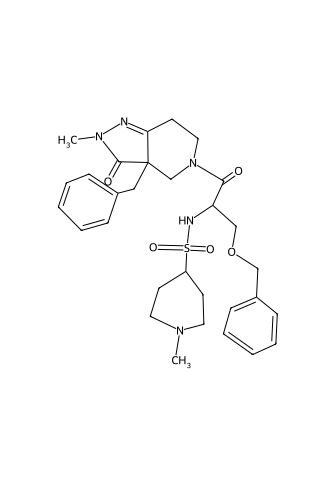 CN1CCC(S(=O)(=O)NC(COCc2ccccc2)C(=O)N2CCC3=NN(C)C(=O)C3(Cc3ccccc3)C2)CC1